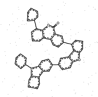 O=c1oc2c(-c3ccccc3)cccc2c2ccc(-c3cccc4oc5ccc(-c6ccc7c(c6)c6ccccc6n7-c6ccccc6)cc5c34)cc12